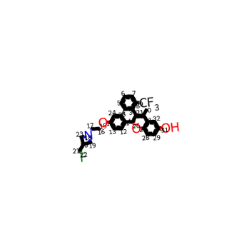 CC1=C(c2ccccc2C(F)(F)F)C(c2ccc(OCCN3CC(CF)C3)cc2)Oc2ccc(O)cc21